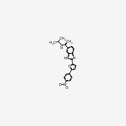 C=C(NC(C)C)c1ccc2nc(-c3ccc(-c4ccc([N+](=O)[O-])cc4)o3)[nH]c2c1